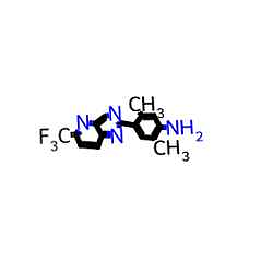 Cc1cc(-c2ncc3nc(C(F)(F)F)ccc3n2)c(C)cc1N